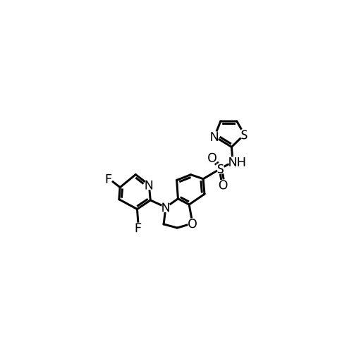 O=S(=O)(Nc1nccs1)c1ccc2c(c1)OCCN2c1ncc(F)cc1F